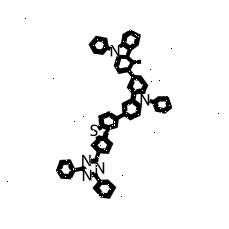 CC1C(c2ccc3c(c2)c2cc(-c4ccc5sc6cc(-c7nc(-c8ccccc8)nc(-c8ccccc8)n7)ccc6c5c4)ccc2n3-c2ccccc2)=CC=C2C1c1ccccc1N2c1ccccc1